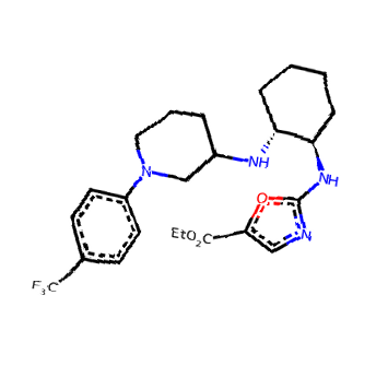 CCOC(=O)c1cnc(N[C@@H]2CCCC[C@H]2NC2CCCN(c3ccc(C(F)(F)F)cc3)C2)o1